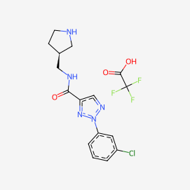 O=C(NC[C@H]1CCNC1)c1cnn(-c2cccc(Cl)c2)n1.O=C(O)C(F)(F)F